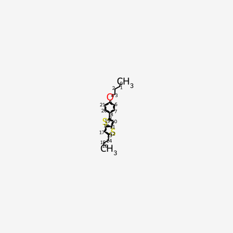 CCCCOc1ccc(-c2cc3sc(CCC)cc3s2)cc1